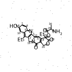 CCc1c2c(nc3ccc(O)cc13)-c1cc3c(c(=O)n1C2)COC(=O)[C@@]3(CC)OC(=O)C(C)N